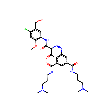 COc1cc(Cl)c(CO)cc1NC(=O)C(/N=N\c1cc(C(=O)NCCCN(C)C)cc(C(=O)NCCCN(C)C)c1)C(C)=O